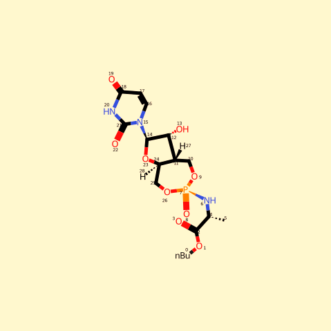 CCCCOC(=O)[C@@H](C)N[P@]1(=O)OC[C@H]2[C@@H](O)[C@H](n3ccc(=O)[nH]c3=O)O[C@@H]2CO1